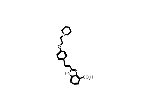 O=C(O)c1cccc2[nH]c(/C=C/c3ccc(OCCN4CCCCC4)cc3)nc12